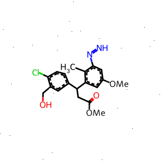 COC(=O)CC(c1ccc(Cl)c(CO)c1)c1cc(OC)cc(N=N)c1C